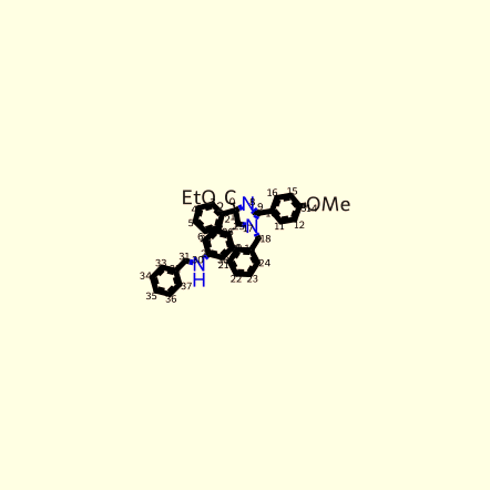 CCOC(=O)[C@]1(c2ccccc2)N=C(c2ccc(OC)cc2)N(Cc2ccccc2)[C@@H]1c1ccc(NCc2ccccc2)cc1